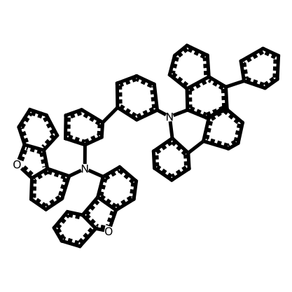 c1ccc(-c2ccccc2N(c2cccc(-c3cccc(N(c4cccc5oc6ccccc6c45)c4cccc5oc6ccccc6c45)c3)c2)c2ccc(-c3ccccc3)c3ccccc23)cc1